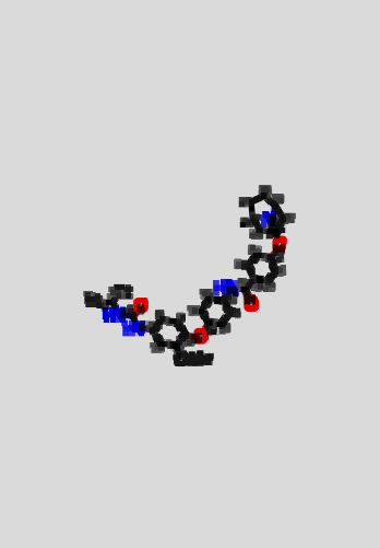 CCC(CC)NC(=O)Nc1ccc(Oc2ccc(NC(=O)c3ccc(OC4CC5CCC(C4)N5CC)cc3)cc2)c(OC)c1